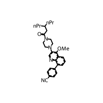 CCCC(CCC)CC(=O)N1CCN(c2cnc3c(-c4ccc(C#N)cc4)cccc3c2OC)CC1